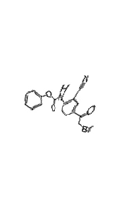 N#Cc1cc(C(=O)CBr)ccc1NC(=O)Oc1ccccc1